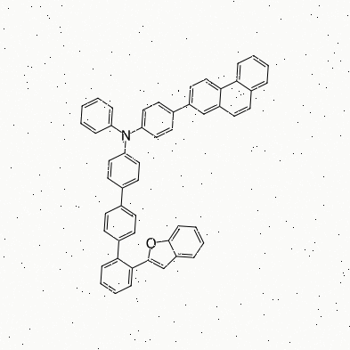 c1ccc(N(c2ccc(-c3ccc(-c4ccccc4-c4cc5ccccc5o4)cc3)cc2)c2ccc(-c3ccc4c(ccc5ccccc54)c3)cc2)cc1